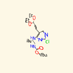 CCOC(C#Cc1cnc(Cl)nc1NC(CNC(=O)OC(C)(C)C)[C@@H](C)CC)OCC